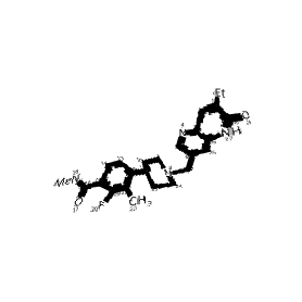 CCc1cc2ncc(CN3CC=C(c4ccc(C(=O)NC)c(F)c4C)CC3)cc2[nH]c1=O